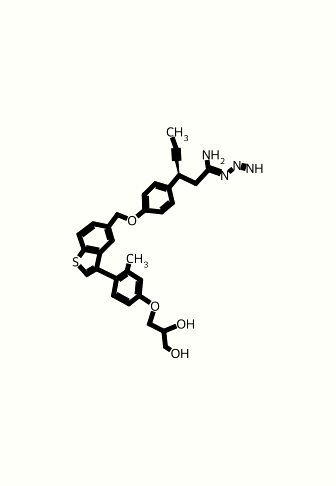 CC#C[C@@H](C/C(N)=N/N=N)c1ccc(OCc2ccc3scc(-c4ccc(OCC(O)CO)cc4C)c3c2)cc1